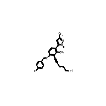 Cn1nc(C(F)(F)F)cc1-c1ccc(OCc2ccc(Cl)cc2)c(C#CCCCO)c1O